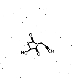 C#CCN1C(=O)SC(O)C1=O